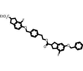 CCOC(=O)C1Cc2ccc(OCc3ccc(CCOC(=O)C4Cc5cc(OCc6ccccc6)cc(F)c5C4)cc3)c(F)c2C1